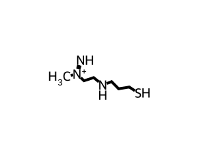 C[N+](=N)CCNCCCS